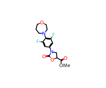 COC(=O)C1CN(c2cc(F)c(N3CCCOCC3)c(F)c2)C(=O)O1